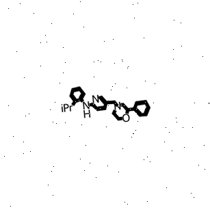 CC(C)c1ccccc1Nc1ccc(CN2CCOC(c3ccccc3)C2)cn1